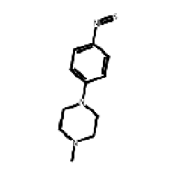 CN1CCN(c2ccc(N=S)cc2)CC1